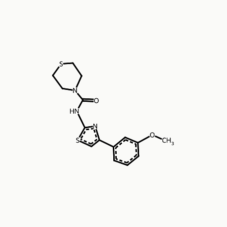 COc1cccc(-c2csc(NC(=O)N3CCSCC3)n2)c1